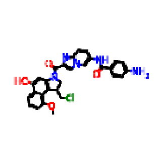 COc1cccc2c(O)cc3c(c12)C(CCl)CN3C(=O)c1cn2cc(NC(=O)c3ccc(N)cc3)ccc2n1